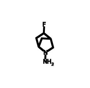 NN1CC2CC1CC2F